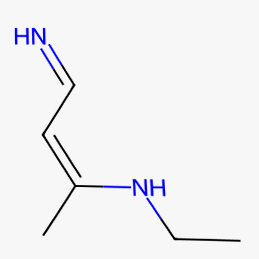 CCN/C(C)=C\C=N